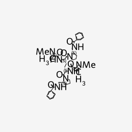 CN[C@@H](C)C(=O)N[C@@H](CC[C@H](NC(=O)[C@H](C)NC)C(=O)N1CCC[C@H]1CNC(=O)c1ccccc1)C(=O)N1CCC[C@H]1CNC(=O)c1ccccc1